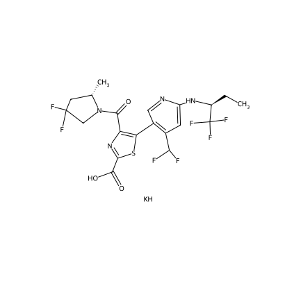 CC[C@H](Nc1cc(C(F)F)c(-c2sc(C(=O)O)nc2C(=O)N2CC(F)(F)C[C@@H]2C)cn1)C(F)(F)F.[KH]